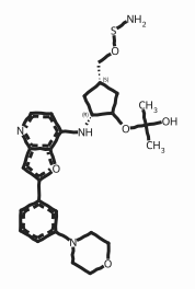 CC(C)(O)OC1C[C@@H](COSN)C[C@H]1Nc1ccnc2cc(-c3cccc(N4CCOCC4)c3)oc12